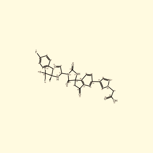 C[C@@](Cc1ccc(F)cc1)(NC(C=O)N1C(=O)NC2(CC(=O)c3cc(-c4cnn(CC(=O)O)c4)ccc32)C1=O)C(F)(F)F